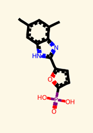 Cc1cc(C)c2nc(-c3ccc(P(=O)(O)O)o3)[nH]c2c1